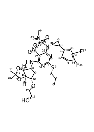 CCCSc1nc(N[C@@H]2C[C@H](OCCO)[C@H]3OC(C)(C)O[C@H]32)c([N+](=O)[O-])c(N([C@@H]2C[C@H]2c2ccc(F)c(F)c2)S(=O)(=O)N(C)C)n1